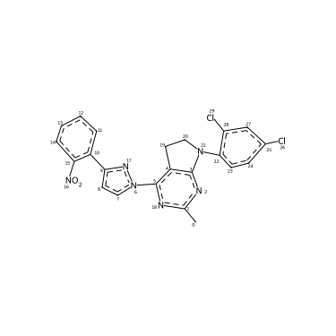 Cc1nc2c(c(-n3ccc(-c4ccccc4[N+](=O)[O-])n3)n1)CCN2c1ccc(Cl)cc1Cl